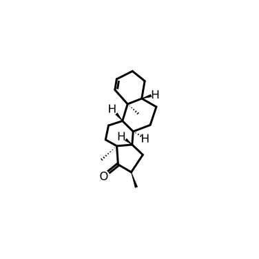 C[C@@H]1C[C@H]2[C@@H]3CC[C@H]4CCC=C[C@]4(C)[C@H]3CC[C@]2(C)C1=O